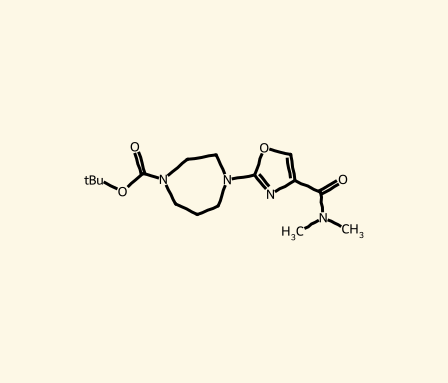 CN(C)C(=O)c1coc(N2CCCN(C(=O)OC(C)(C)C)CC2)n1